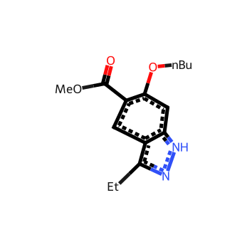 CCCCOc1cc2[nH]nc(CC)c2cc1C(=O)OC